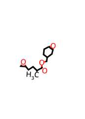 CC(CCC1CO1)C(=O)OCC1CCC2OC2C1